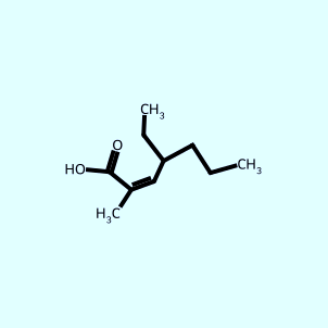 CCCC(C=C(C)C(=O)O)CC